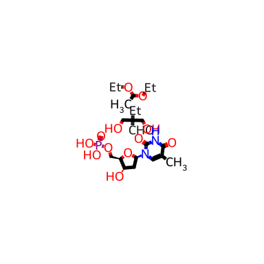 CCC(C=O)(CO)CO.CCOC(C)OCC.Cc1cn([C@H]2C[C@H](O)[C@@H](COP(=O)(O)O)O2)c(=O)[nH]c1=O